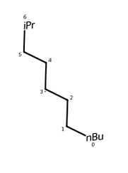 CCCCCC[CH]CCC(C)C